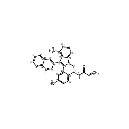 C=CC(=O)NC1Cn2c(c(-c3cnc4ccccc4c3)c3c(N)ncnc32)-c2cc(O)ccc21